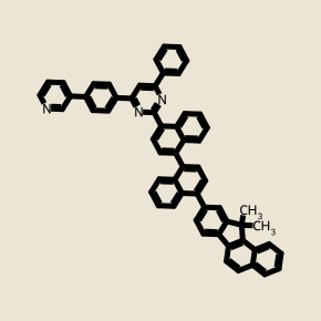 CC1(C)c2cc(-c3ccc(-c4ccc(-c5nc(-c6ccccc6)cc(-c6ccc(-c7cccnc7)cc6)n5)c5ccccc45)c4ccccc34)ccc2-c2ccc3ccccc3c21